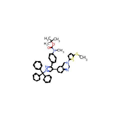 CSc1ccc(N2C=c3cc(-c4cn(C(c5ccccc5)(c5ccccc5)c5ccccc5)nc4-c4ccc(N(C)C(=O)OC(C)(C)C)cc4)ccc3=NC2)s1